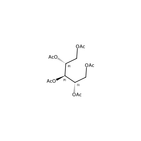 CC(=O)OC[C@H](OC(C)=O)[C@@H](OC(C)=O)[C@@H](COC(C)=O)OC(C)=O